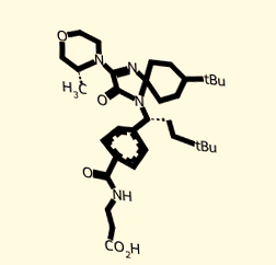 C[C@@H]1COCCN1C1=NC2(CCC(C(C)(C)C)CC2)N([C@H](CCC(C)(C)C)c2ccc(C(=O)NCCC(=O)O)cc2)C1=O